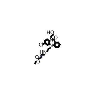 CCOC(=O)/C=C/CNCCCN1c2ccccc2C(=O)N(CCO)c2ccc(Cl)cc21